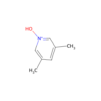 Cc1cc(C)c[n+](O)c1